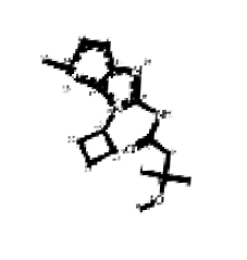 COC(C)(C)CC(=O)Nc1nc2ccc(C)nc2n1C1CCC1